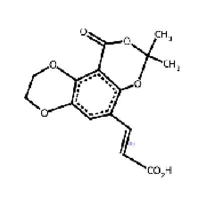 CC1(C)OC(=O)c2c(c(/C=C/C(=O)O)cc3c2OCCO3)O1